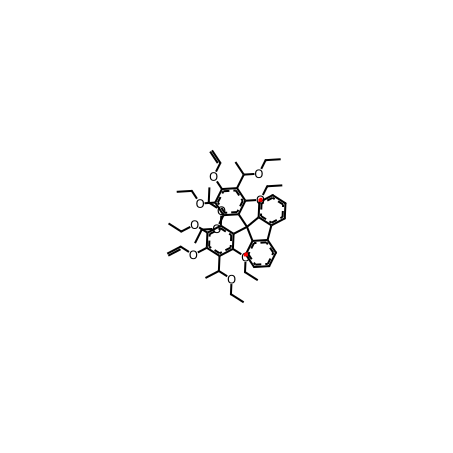 C=COc1c(OCC)c(OCC)c(C2(c3c(OCC)c(OCC)c(OC=C)c(C(C)OCC)c3OCC)c3ccccc3-c3ccccc32)c(OCC)c1C(C)OCC